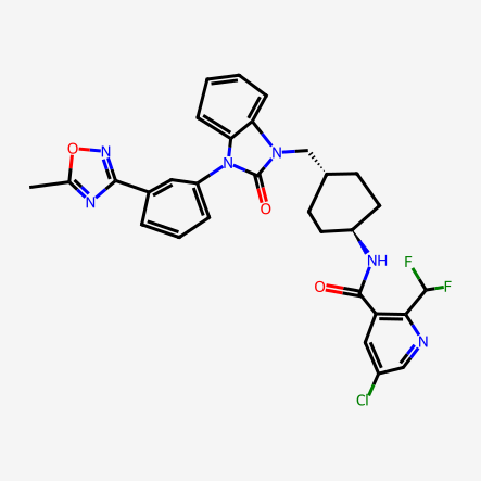 Cc1nc(-c2cccc(-n3c(=O)n(C[C@H]4CC[C@H](NC(=O)c5cc(Cl)cnc5C(F)F)CC4)c4ccccc43)c2)no1